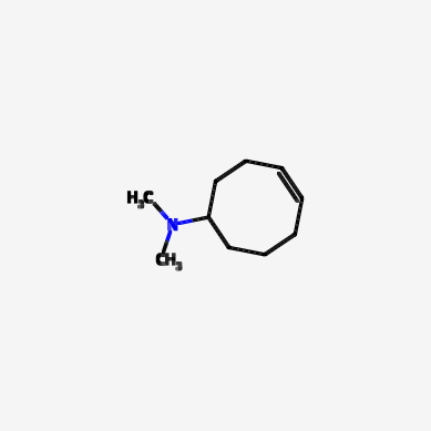 CN(C)C1CCC=CCCC1